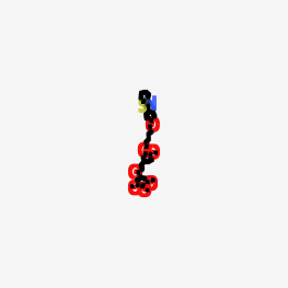 COc1ccc(/C=C/C(=O)c2cc(OC)c(OC)c(OC)c2)cc1OCCCCCCOc1ccc(-c2nc3ccccc3s2)cc1